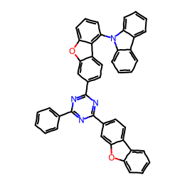 c1ccc(-c2nc(-c3ccc4c(c3)oc3ccccc34)nc(-c3ccc4c(c3)oc3cccc(-n5c6ccccc6c6ccccc65)c34)n2)cc1